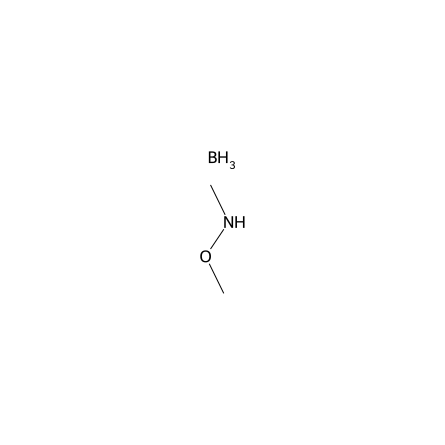 B.CNOC